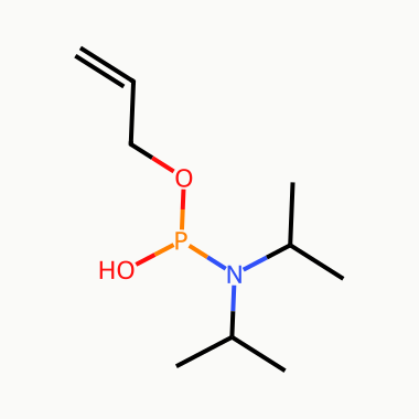 C=CCOP(O)N(C(C)C)C(C)C